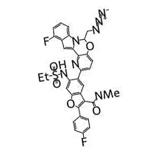 CCS(=O)(=O)Nc1cc2oc(-c3ccc(F)cc3)c(C(=O)NC)c2cc1-c1ccc2c(n1)-c1cc3c(F)cccc3n1C(CN=[N+]=[N-])O2